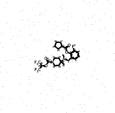 CN(Cc1cccc(F)c1OC(=O)C1CCCC1)C1(C)CCN(C(=O)OC(C(F)(F)F)C(F)(F)F)CC1